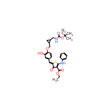 CCOC(=O)C1=C(Nc2ccccc2)S/C(=C\c2ccc(OCC3CC3CNC(=O)OC(C)(C)C)c(O)c2)C1=O